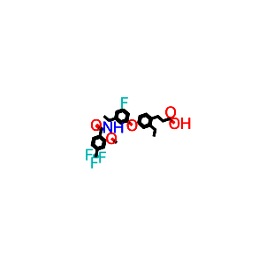 CCc1cc(Oc2cc(F)cc(C(C)NC(=O)c3ccc(C(F)(F)F)cc3OC)c2)ccc1CCC(=O)O